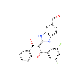 O=Cc1ccc2c(c1)NC(=C(C(=O)c1ccccc1)C(=O)c1cc(F)cc(F)c1)N2